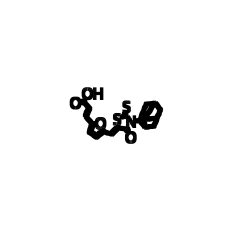 O=C(O)C=Cc1ccc(/C=C2\SC(=S)N(C3C4CC5CC(C4)CC3C5)C2=O)o1